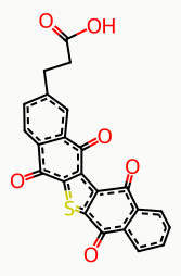 O=C(O)CCc1ccc2c(=O)c3sc4c(=O)c5ccccc5c(=O)c4c3c(=O)c2c1